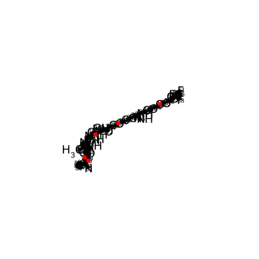 COc1cnc(N/C=N\C(=N)C(=O)N[C@H](CO)CCCNC(=O)CCOCCOCCOCCOC/C(=C/NCCOCCOCCOCCOCCC(=O)Oc2c(F)cc(F)cc2F)N=N)c2[nH]cc(C(=O)C(=O)N3CCC(=C(C#N)c4ccccc4)CC3)c12